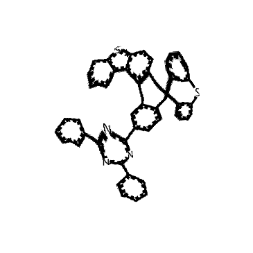 c1ccc(-c2nc(-c3ccccc3)nc(-c3ccc4c(c3)-c3c(ccc5sc6ccccc6c35)C43c4ccccc4Sc4ccccc43)n2)cc1